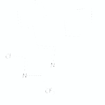 FC(F)(F)c1nc(Cl)c(-c2ccccc2)c(-c2ccccc2)n1